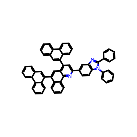 c1ccc(-c2nc3cc(-c4cc(-c5cc6ccccc6c6ccccc56)c5cc(-c6cc7ccccc7c7ccccc67)c6ccccc6c5n4)ccc3n2-c2ccccc2)cc1